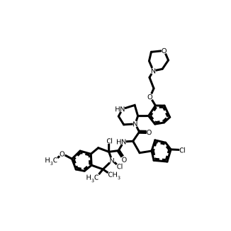 COc1ccc2c(c1)CC(Cl)(C(=O)NC(Cc1ccc(Cl)cc1)C(=O)N1CCNCC1c1ccccc1OCCN1CCOCC1)N(Cl)C2(C)C